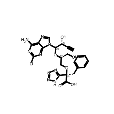 C#C[C@@H](O)[C@@H](O[C@@H](CO)CO[C@@](Cc1ccccc1)(C(=O)O)c1nnn[nH]1)n1cnc2c(N)nc(Cl)nc21